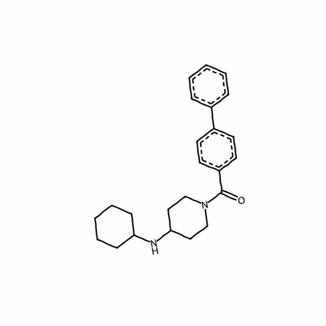 O=C(c1ccc(-c2ccccc2)cc1)N1CCC(NC2CCCCC2)CC1